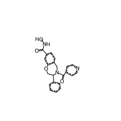 O=C(NO)c1ccc2c(c1)OCC(c1ccccc1)N(C(=O)c1ccncc1)C2